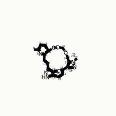 Cc1ccc2c(n1)/C=C/c1n[nH]c3ccc(cc13)-c1cnn(C)c1[C@@H](C)OCCO2